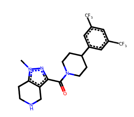 Cn1nc(C(=O)N2CCC(c3cc(C(F)(F)F)cc(C(F)(F)F)c3)CC2)c2c1CCNC2